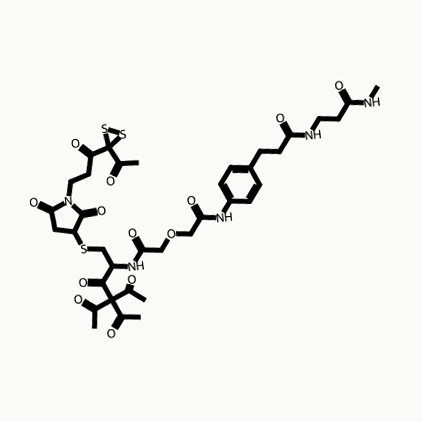 CNC(=O)CCNC(=O)CCc1ccc(NC(=O)COCC(=O)NC(CSC2CC(=O)N(CCC(=O)C3(C(C)=O)SS3)C2=O)C(=O)C(C(C)=O)(C(C)=O)C(C)=O)cc1